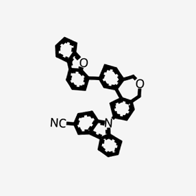 N#Cc1ccc2c(c1)c1ccccc1n2-c1ccc2c(c1)-c1cc(-c3cccc4c3oc3ccccc34)ccc1COC2